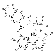 COC(=O)C(COC(=O)C(CO[Si](C)(C)C(C)(C)C)Cc1ccccc1)NC(=O)c1nccc(OC)c1O